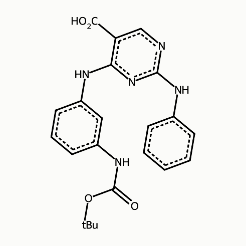 CC(C)(C)OC(=O)Nc1cccc(Nc2nc(Nc3ccccc3)ncc2C(=O)O)c1